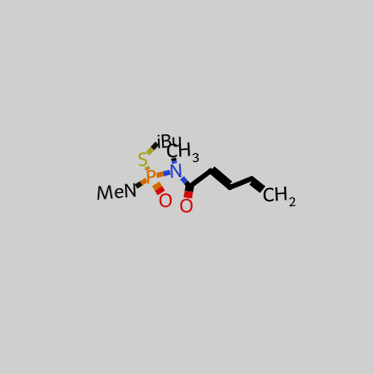 C=CC=CC(=O)N(C)P(=O)(NC)SC(C)CC